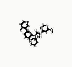 COc1cc(NC(=O)N2c3nc(-c4cnccc4C)ccc3N3CCC[C@H]2C3)ncn1